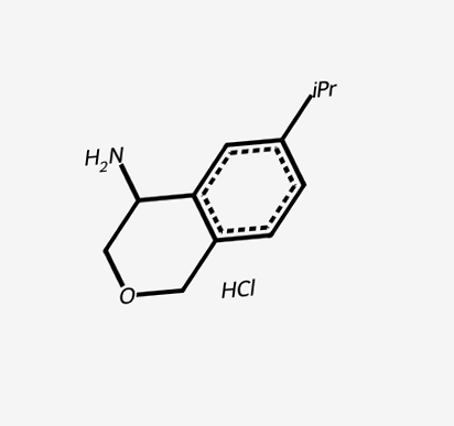 CC(C)c1ccc2c(c1)C(N)COC2.Cl